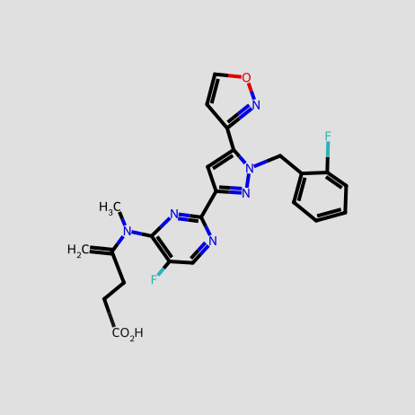 C=C(CCC(=O)O)N(C)c1nc(-c2cc(-c3ccon3)n(Cc3ccccc3F)n2)ncc1F